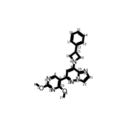 COc1ncc(-c2cc(N3CC(c4ccccc4)C3)c3nccn3n2)c(OC)n1